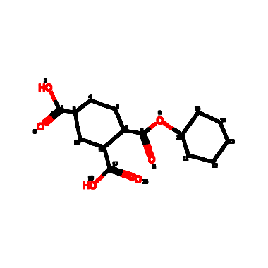 O=C(O)C1CCC(C(=O)OC2CCCCC2)C(C(=O)O)C1